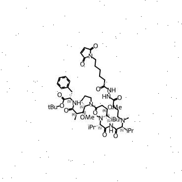 CC[C@H](C)[C@@H]([C@@H](CC(=O)N1CCC[C@H]1[C@H](OC)[C@@H](C)C(=O)N[C@@H](Cc1ccccc1)C(=O)OC(C)(C)C)OC)N(C)[C@H](C(=O)NC(=O)[C@H](C(C)C)N(C)CCCC(=O)NNC(=O)CCCCCN1C(=O)C=CC1=O)C(C)C